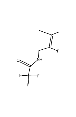 CC(C)=C(F)CNC(=O)C(F)(F)F